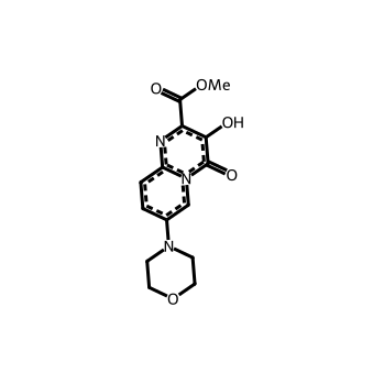 COC(=O)c1nc2ccc(N3CCOCC3)cn2c(=O)c1O